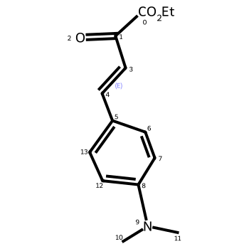 CCOC(=O)C(=O)/C=C/c1ccc(N(C)C)cc1